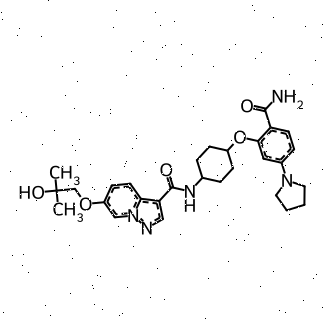 CC(C)(O)COc1ccc2c(C(=O)NC3CCC(Oc4cc(N5CCCC5)ccc4C(N)=O)CC3)cnn2c1